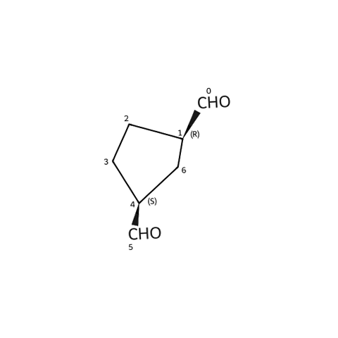 O=C[C@@H]1CC[C@H](C=O)C1